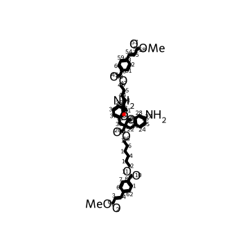 COC(=O)C=Cc1ccc(C(=O)OCCCCCCOC(=O)C(Cc2ccc(N)cc2)(Cc2ccc(N)cc2)C(=O)OCCCCCCOC(=O)c2ccc(C=CC(=O)OC)cc2)cc1